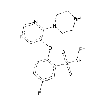 CC(C)NS(=O)(=O)c1cc(F)ccc1Oc1cncnc1N1CCNCC1